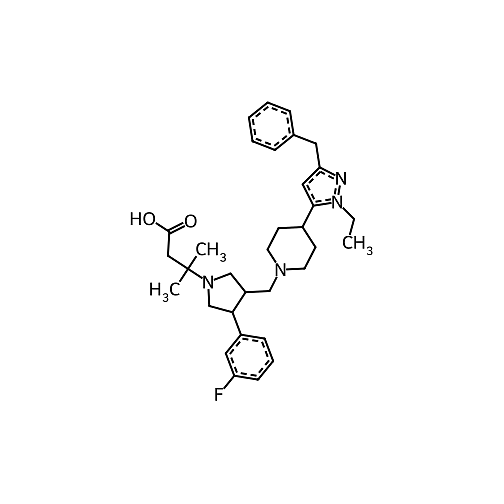 CCn1nc(Cc2ccccc2)cc1C1CCN(CC2CN(C(C)(C)CC(=O)O)CC2c2cccc(F)c2)CC1